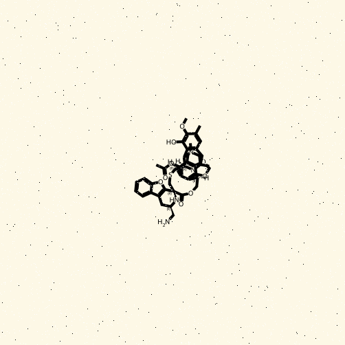 COc1c(C)cc2c(c1O)C1[C@@H]3[C@@H]4SC[C@]5(N[C@@H](CN)Cc6c5oc5ccccc65)C(=O)OC[C@@H](c5c6c(c(C)c(OC(C)=O)c54)OCO6)N3C(C)(C2)CN1C